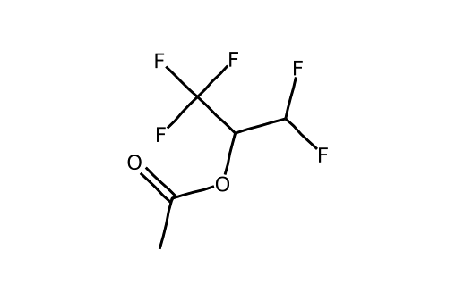 CC(=O)OC(C(F)F)C(F)(F)F